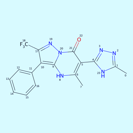 Cc1nnc(-c2c(C)[nH]c3c(-c4ccccc4)c(C(F)(F)F)nn3c2=O)[nH]1